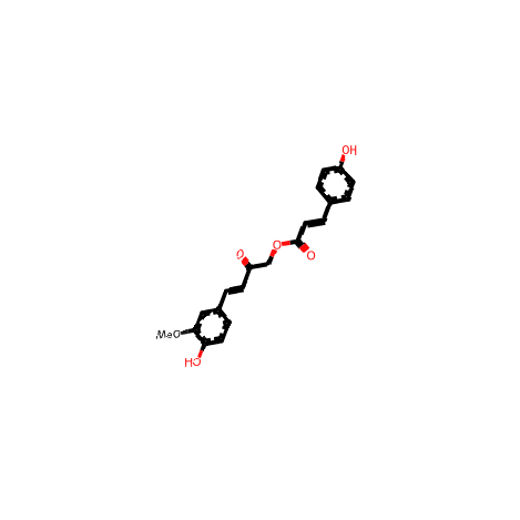 COc1cc(/C=C/C(=O)COC(=O)C=Cc2ccc(O)cc2)ccc1O